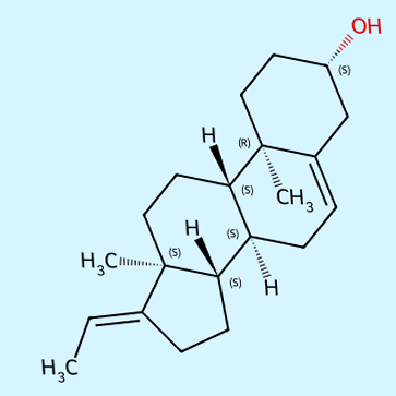 CC=C1CC[C@H]2[C@@H]3CC=C4C[C@@H](O)CC[C@]4(C)[C@H]3CC[C@]12C